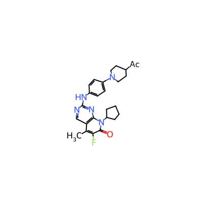 CC(=O)C1CCN(c2ccc(Nc3ncc4c(C)c(F)c(=O)n(C5CCCC5)c4n3)cc2)CC1